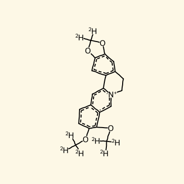 [2H]C([2H])([2H])Oc1ccc2cc3[n+](cc2c1OC([2H])([2H])[2H])CCc1cc2c(cc1-3)OC([2H])([2H])O2